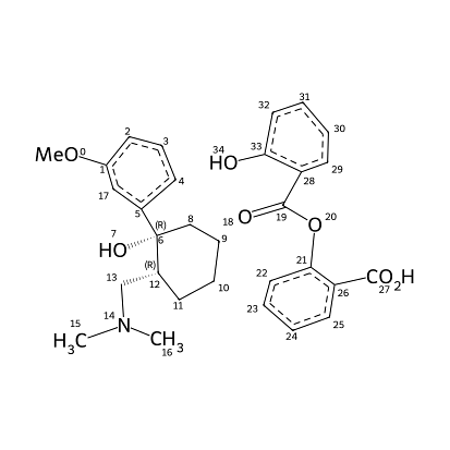 COc1cccc([C@@]2(O)CCCC[C@@H]2CN(C)C)c1.O=C(Oc1ccccc1C(=O)O)c1ccccc1O